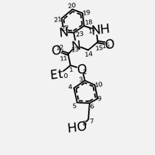 CCC(Oc1ccc(CO)cc1)C(=O)N1CC(=O)Nc2cccnc21